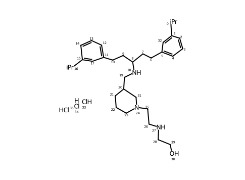 CC(C)c1cccc(CCC(CCc2cccc(C(C)C)c2)NCC2CCCN(CCNCCO)C2)c1.Cl.Cl.Cl